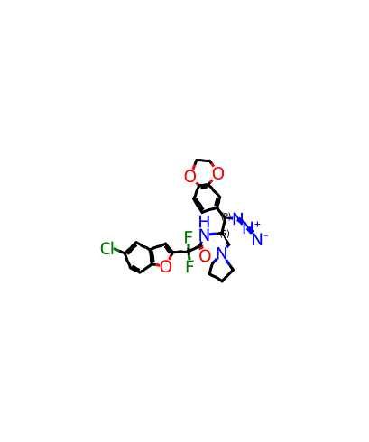 [N-]=[N+]=N[C@H](c1ccc2c(c1)OCCO2)[C@@H](CN1CCCC1)NC(=O)C(F)(F)c1cc2cc(Cl)ccc2o1